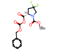 CC(C)(C)OC(=O)N1CC(F)(F)C[C@H]1C(=O)OC(=O)OCc1ccccc1